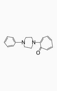 O=c1cccccc1N1CCN(c2ccccc2)CC1